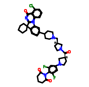 O=C([C@@H]1CCN(c2cc(F)c(N3C(=O)CCCC3=O)c(F)c2)C1)N1CC[C@@H](CN2CCC(c3ccc4c(c3)-n3c(nc(=O)c5c(Cl)cccc53)C43CCCCC3)CC2)C1